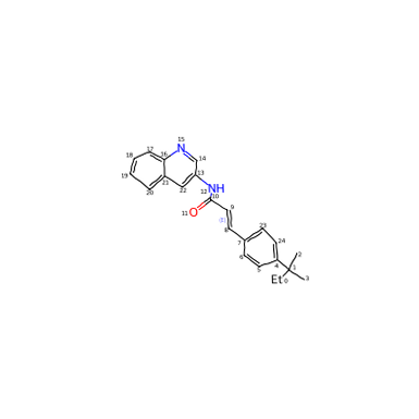 CCC(C)(C)c1ccc(/C=C/C(=O)Nc2cnc3ccccc3c2)cc1